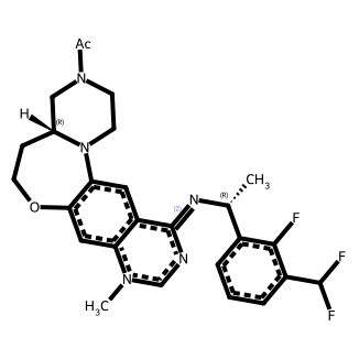 CC(=O)N1CCN2c3cc4/c(=N/[C@H](C)c5cccc(C(F)F)c5F)ncn(C)c4cc3OCC[C@@H]2C1